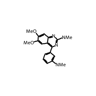 CNc1cccc(-c2nc(NC)nc3cc(OC)c(OC)cc23)c1